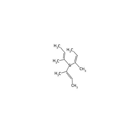 CC=C(C)[Si](C(C)=CC)C(C)=CC